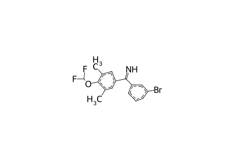 Cc1cc(C(=N)c2cccc(Br)c2)cc(C)c1OC(F)F